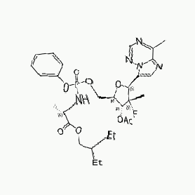 CCC(CC)COC(=O)[C@H](C)NP(=O)(OC[C@H]1O[C@@H](c2cnc3c(C)ncnn23)[C@](C)(F)[C@@H]1OC(C)=O)Oc1ccccc1